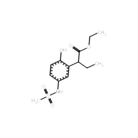 CCOC(=O)C(CC)c1cc(NS(C)(=O)=O)ccc1O